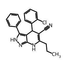 CCCC1=C(C#N)C(c2ccccc2Cl)c2c(n[nH]c2-c2ccccc2)N1